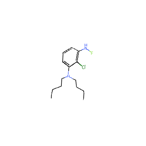 CCCCN(CCCC)c1cccc(NF)c1Cl